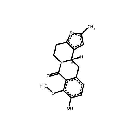 COc1c(O)ccc2c1C(=O)N1CCc3sc(C)cc3[C@@H]1C2